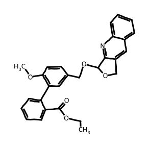 CCOC(=O)c1ccccc1-c1cc(COC2OCc3cc4ccccc4nc32)ccc1OC